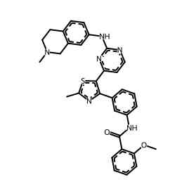 COc1ccccc1C(=O)Nc1cccc(-c2nc(C)sc2-c2ccnc(Nc3ccc4c(c3)CN(C)CC4)n2)c1